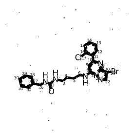 O=C(NCCCCNc1cc(-c2ccccc2Cl)nc2c(Br)cnn12)NCc1ccccc1